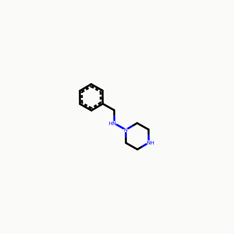 c1ccc(CNN2CCNCC2)cc1